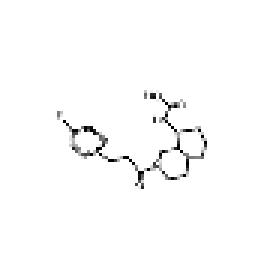 O=C(O)NC1CCCC2CCN(C(=O)CCc3ccc(F)cc3)CC21